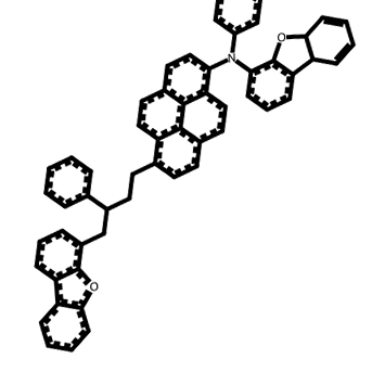 C1=CC2Oc3c(cccc3N(c3ccccc3)c3ccc4ccc5c(CCC(Cc6cccc7c6oc6ccccc67)c6ccccc6)ccc6ccc3c4c65)C2C=C1